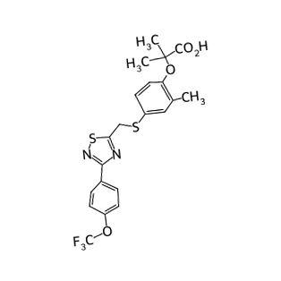 Cc1cc(SCc2nc(-c3ccc(OC(F)(F)F)cc3)ns2)ccc1OC(C)(C)C(=O)O